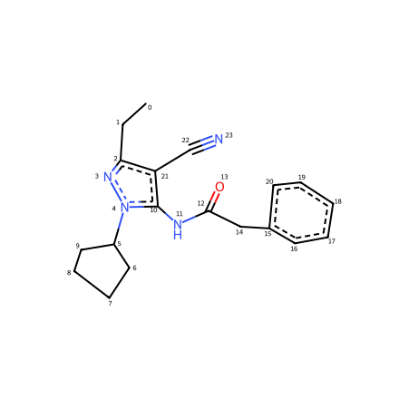 CCc1nn(C2CCCC2)c(NC(=O)Cc2ccccc2)c1C#N